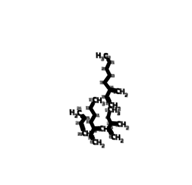 C=CC(=C)CC.C=CC(=C)CCCC.C=CC(=C)CCCCC.C=CC=C